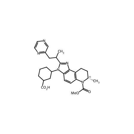 COC(=O)N1c2ccc3c(nc(C(C)Cc4cnccn4)n3C3CCCC(C(=O)O)C3)c2CC[C@@H]1C